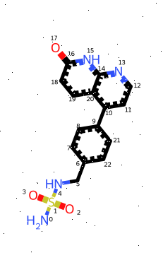 NS(=O)(=O)NCc1ccc(-c2ccnc3[nH]c(=O)ccc23)cc1